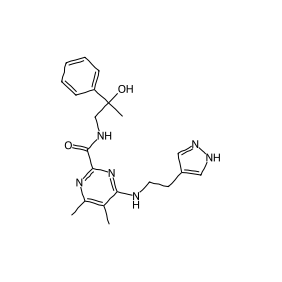 Cc1nc(C(=O)NCC(C)(O)c2ccccc2)nc(NCCc2cn[nH]c2)c1C